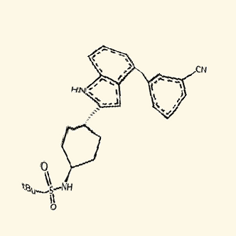 CC(C)(C)S(=O)(=O)N[C@H]1CC[C@H](c2cc3c(-c4cccc(C#N)c4)cccc3[nH]2)CC1